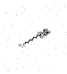 C=CCCCCCCC(=O)NS(=O)(=O)C(F)(F)F